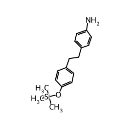 C[Si](C)(C)Oc1ccc(CCc2ccc(N)cc2)cc1